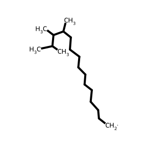 [CH2]CCCCCCCCCCC(C)C(C)C(C)C